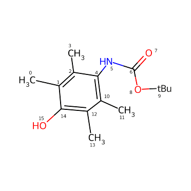 Cc1c(C)c(NC(=O)OC(C)(C)C)c(C)c(C)c1O